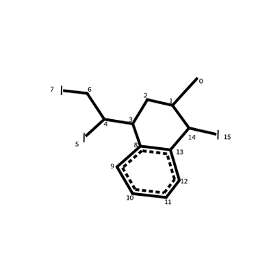 CC1CC(C(I)CI)c2ccccc2C1I